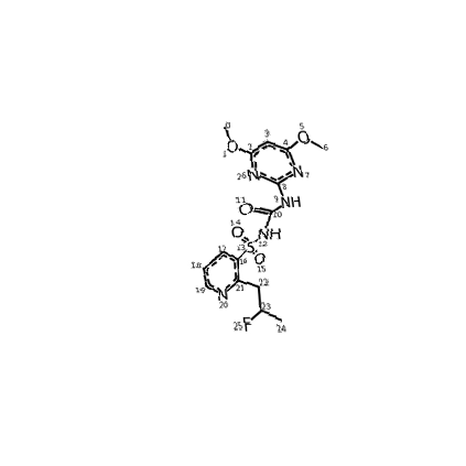 COc1cc(OC)nc(NC(=O)NS(=O)(=O)c2cccnc2CC(C)F)n1